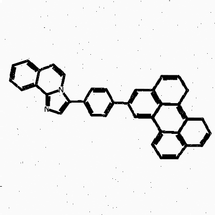 C1=Cc2cccc3c2c(c2c4c(cc(-c5ccc(-c6cnc7c8ccccc8ccn67)cc5)cc43)C=CC2)C1